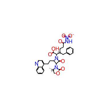 C[C@H]1COC(=O)N1C1C(=O)N(C(C(=O)O)[C@@H](CCC(=O)N[N+](=O)[O-])Cc2ccccc2)C1CCc1ccnc2ccccc12